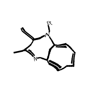 C=C1C(C)=Nc2ccccc2N1CC